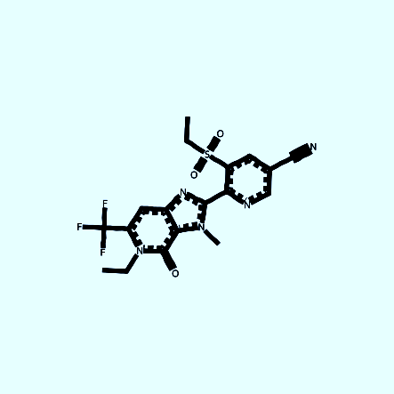 CCn1c(C(F)(F)F)cc2nc(-c3ncc(C#N)cc3S(=O)(=O)CC)n(C)c2c1=O